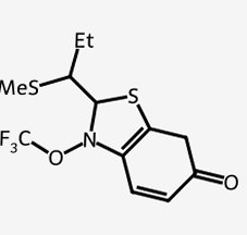 CCC(SC)C1SC2=C(C=CC(=O)C2)N1OC(F)(F)F